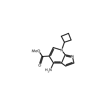 COC(=O)c1cn(C2CCC2)c2nccc-2c1N